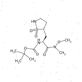 CON(C)C(=O)[C@H](CC1CCNS1(=O)=O)NC(=O)OC(C)(C)C